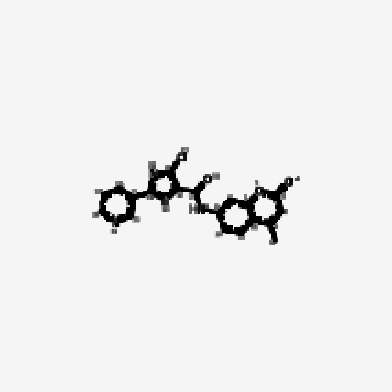 Cc1cc(=O)oc2cc(NC(=O)c3sc(-c4cccnc4)nc3Cl)ccc12